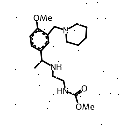 COC(=O)NCCNC(C)c1ccc(OC)c(CN2CCCCC2)c1